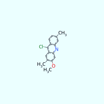 COc1cc2nc3cc(C)ccc3c(Cl)c2cc1C